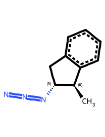 C[C@@H]1c2ccccc2C[C@H]1N=[N+]=[N-]